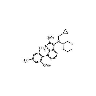 COc1cc(C)cc(C)c1-c1cccc2c(N(CC3CC3)C3CCCOC3)c(SC)nn12